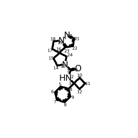 O=C(NC1(c2ccccc2)CCC1)N1CCC2(CCn3nccc32)C1